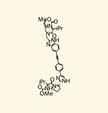 C=CCCN(Cc1nc2cc(C#Cc3ccc(-c4c[nH]c([C@@H]5CCCN5C(=O)[C@@H](NC(=O)OC)C(C)C)n4)cc3)ccc2[nH]1)C(=O)[C@@H](NC(=O)OC)C(C)C